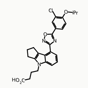 CC(C)Oc1ccc(-c2nc(-c3cccc4c3c3c(n4CCCC(=O)O)CCC3)no2)cc1Cl